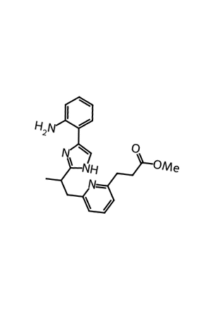 COC(=O)CCc1cccc(CC(C)c2nc(-c3ccccc3N)c[nH]2)n1